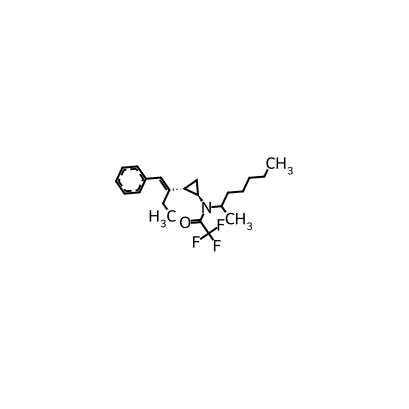 CCCCCC(C)N(C(=O)C(F)(F)F)[C@@H]1C[C@H]1/C(=C/c1ccccc1)CC